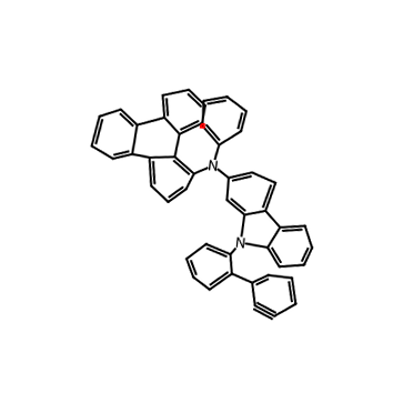 c1cccc(-c2ccccc2-n2c3ccccc3c3ccc(N(c4ccccc4)c4cccc5c6ccccc6c6ccccc6c45)cc32)c#1